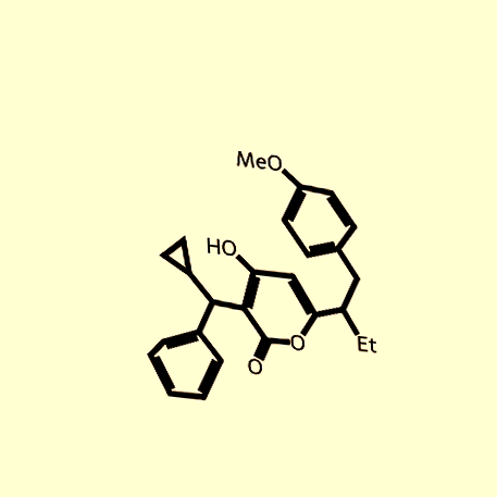 CCC(Cc1ccc(OC)cc1)c1cc(O)c(C(c2ccccc2)C2CC2)c(=O)o1